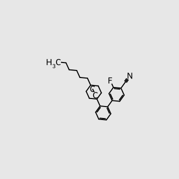 CCCCCCC12CCC(c3ccccc3-c3ccc(C#N)c(F)c3)(CC1)CC2